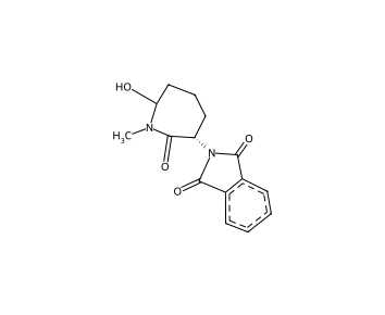 CN1C(=O)[C@@H](N2C(=O)c3ccccc3C2=O)CCCC1O